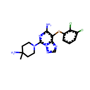 CC1(N)CCN(c2nc(N)c(Sc3cccc(Cl)c3Cl)c3ncnn23)CC1